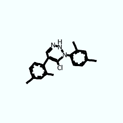 Cc1ccc(C2=C(Cl)N(c3ccc(C)cc3C)NN=C2)c(C)c1